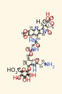 C[C@@]1(O)C(=O)OCc2c1cc1n(c2=O)Cc2c-1nc1cc3c(cc1c2CNC(=O)CNC(=O)OCc1ccc(O[C@@H]2O[C@H](C(=O)O)[C@@H](O)[C@H](O)[C@H]2O)c(NC(=O)CCN)c1)OCO3